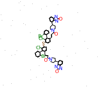 O=C1N=c2cccc(C3CCN(C(=O)/C=C/c4ccc(Sc5ccc(/C=C/C(=O)N6CCC(c7cccc8c7=NC(=O)N=8)CC6)c(-c6ccccc6Br)c5Cl)c(Cl)c4-c4ccccc4Br)CC3)c2=N1